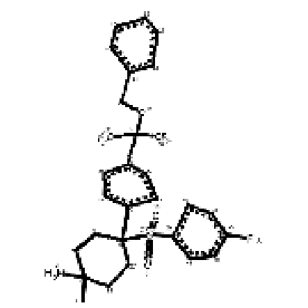 CC1(N)CCC(c2ccc(C(OCc3ccccc3)(C(F)(F)F)C(F)(F)F)cc2)(S(=O)(=O)c2ccc(F)cc2)CC1